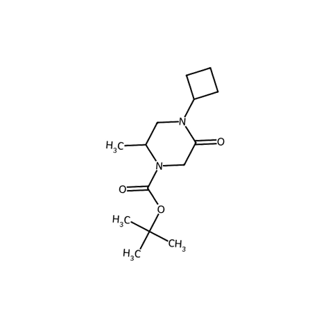 CC1CN(C2CCC2)C(=O)CN1C(=O)OC(C)(C)C